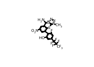 Cn1nnnc1Sc1c(C(N)=O)cc([N+](=O)[O-])cc1-c1c(O)cc(C(F)(F)C(F)(F)C(F)(F)F)cc1F